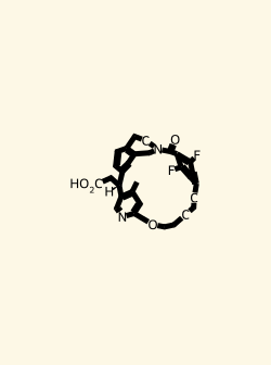 Cc1cc2ncc1[C@@H](CC(=O)O)c1ccc3c(c1)CN(CC3)C(=O)c1c(F)cc(cc1F)CCCCCO2